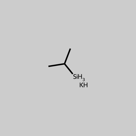 CC(C)[SiH3].[KH]